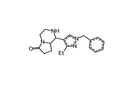 CCc1nn(Cc2ccccc2)cc1C1NCCN2C(=O)CCC12